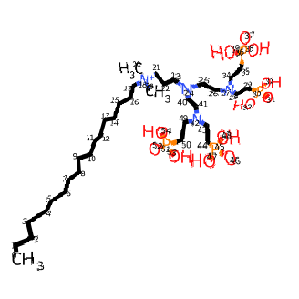 CCCCCCCCCCCCCCCCCC[N+](C)(C)CCCN(CCN(CCP(=O)(O)O)CCP(=O)(O)O)CCN(CCP(=O)(O)O)CCP(=O)(O)O